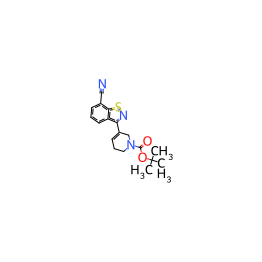 CC(C)(C)OC(=O)N1CCC=C(c2nsc3c(C#N)cccc23)C1